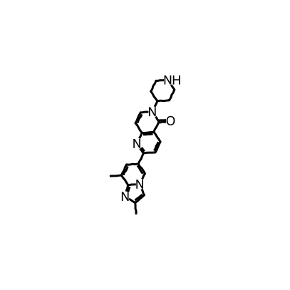 Cc1cn2cc(-c3ccc4c(=O)n(C5CCNCC5)ccc4n3)cc(C)c2n1